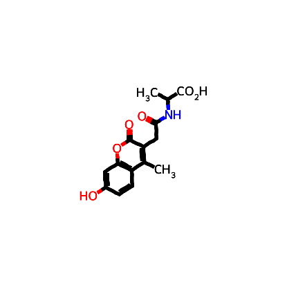 Cc1c(CC(=O)NC(C)C(=O)O)c(=O)oc2cc(O)ccc12